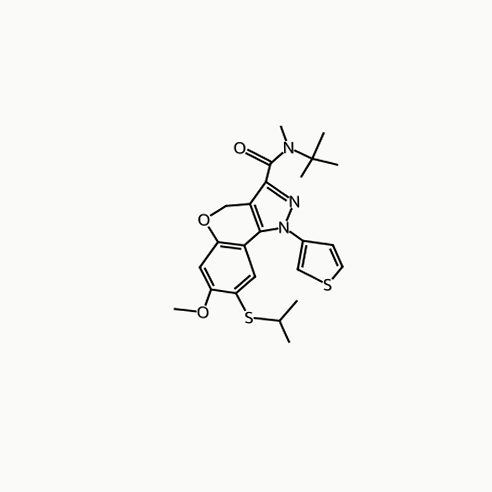 COc1cc2c(cc1SC(C)C)-c1c(c(C(=O)N(C)C(C)(C)C)nn1-c1ccsc1)CO2